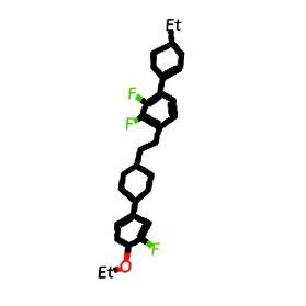 CCOC1CC=C(C2CCC(CCc3ccc(C4=CCC(CC)CC4)c(F)c3F)CC2)C=C1F